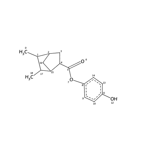 CC1C2CC(C(=O)Oc3ccc(O)cc3)C(C2)C1C